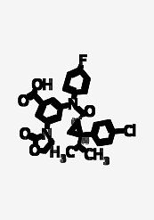 CC(C)[C@@]1(c2ccc(Cl)cc2)C[C@@H]1C(=O)N(c1ccc(F)cc1)c1cc(C(=O)O)cc(N2CCOC2=O)c1